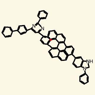 c1ccc(-c2ccc(-c3cc(-c4ccc(-c5ccc6ccccc6c5-c5c(-c6ccc(-c7ccc8c(c7)NCN8c7ccccc7)cc6)ccc6ccccc56)cc4)nc(-c4ccccc4)n3)cc2)cc1